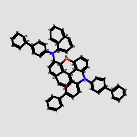 c1ccc(-c2ccc(N(c3ccc(-c4ccccc4)cc3)c3cccc4c3-c3cccc5ccc(N(c6ccc(-c7ccccc7)cc6)c6cccc7ccccc67)c(c35)O4)cc2)cc1